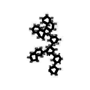 c1ccc(-c2cccc(-c3cc(-c4cccc(-n5c6ccc7ccccc7c6c6c7ccccc7ccc65)c4)cc(-c4ccc5ccccc5c4)n3)c2)cc1